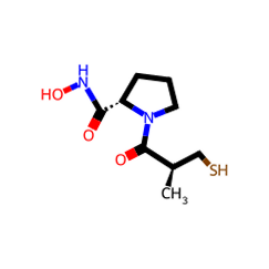 C[C@H](CS)C(=O)N1CCC[C@H]1C(=O)NO